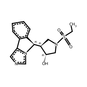 CCS(=O)(=O)N1C[C@H]([C@@H]2c3ccccc3-c3cncn32)[C@@H](O)C1